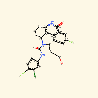 O=C(Nc1ccc(F)c(Cl)c1)N(CCCO)C1CCCc2[nH]c(=O)c3cc(F)ccc3c21